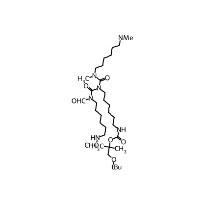 CNCCCCCCN(C)C(=O)N(CCCCCCNC(=O)OC(C)(C)COC(C)(C)C)C(=O)N(C=O)CCCCCCNC=O